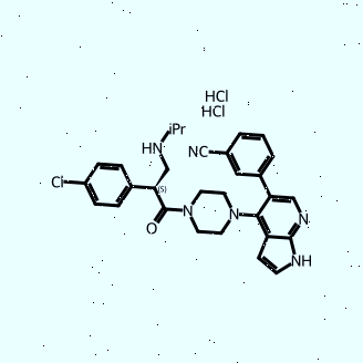 CC(C)NC[C@@H](C(=O)N1CCN(c2c(-c3cccc(C#N)c3)cnc3[nH]ccc23)CC1)c1ccc(Cl)cc1.Cl.Cl